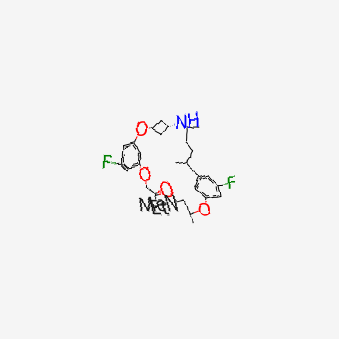 CCC(=O)COc1cc(F)cc(O[C@H]2C[C@@H](NC(C)CCC(C)c3cc(F)cc(O[C@@H](C)CNC)c3)C2)c1